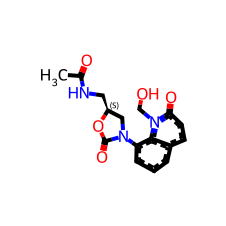 CC(=O)NC[C@H]1CN(c2cccc3ccc(=O)n(CO)c23)C(=O)O1